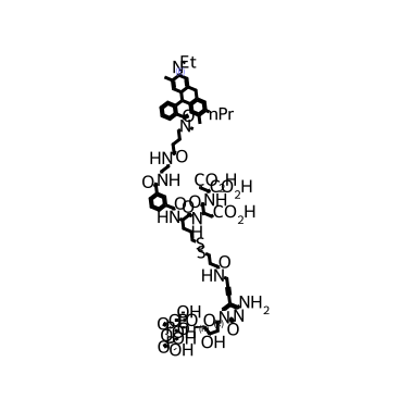 CCCc1cc2c(cc1C)C(c1ccccc1C(=O)N(C)CCCC(=O)NCCNC(=O)c1cccc(C(=O)NC(CCCSSCCC(=O)NCC#Cc3cn([C@H]4CC(O)[C@@H](COP(=O)(O)OP(=O)(O)OP(=O)(O)O)O4)c(=O)nc3N)C(=O)NC(CC(=O)O)C(=O)NC(CC(=O)O)C(=O)O)c1)C1C=C(C)/C(=N/CC)C=C1C2